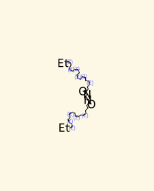 CC/C=C\C/C=C\C/C=C\C/C=C\C/C=C\C/C=C\CCC(=O)N1CCN(C(=O)CCC/C=C\C/C=C\C/C=C\C/C=C\C/C=C\CC)CC1